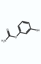 NC(=O)Oc1cccc(S)c1